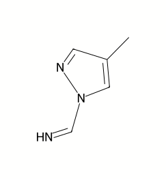 Cc1cnn(C=N)c1